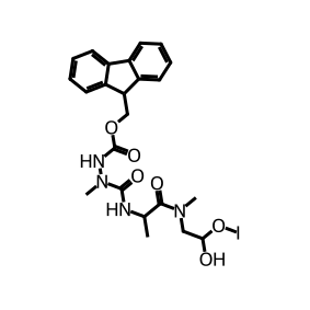 CC(NC(=O)N(C)NC(=O)OCC1c2ccccc2-c2ccccc21)C(=O)N(C)CC(O)OI